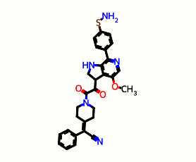 COc1cnc(-c2ccc(SN)cc2)c2c1C(C(=O)C(=O)N1CCC(=C(C#N)c3ccccc3)CC1)CN2